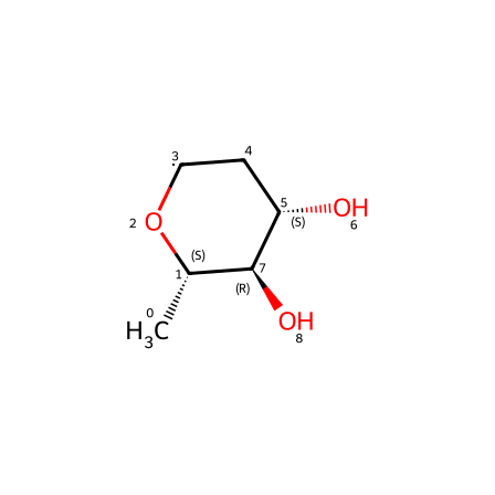 C[C@@H]1O[CH]C[C@H](O)[C@H]1O